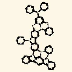 c1ccc(N(c2ccccc2)c2cc3c4c(c2)Oc2cc5c(cc2B4c2ccccc2O3)c2cc3c(cc2n5-c2ccccc2)-n2c4ccccc4c4cc5c6ccccc6n6c5c(c42)B3c2ccccc2-6)cc1